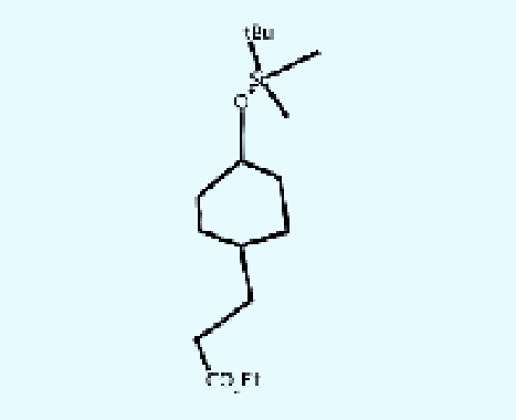 CCOC(=O)CCC1CCC(O[Si](C)(C)C(C)(C)C)CC1